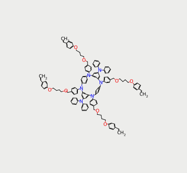 C=Cc1ccc(OCCCCOCc2ccc(-n3c4ccc(cc4)n(-c4ccc(COCCCCOc5ccc(C=C)cc5)cc4)c4cc(N(c5ccccc5)c5ccccc5)cc(c4)n(-c4ccc(COCCCCOc5ccc(C=C)cc5)cc4)c4ccc(cc4)n(-c4ccc(COCCCCOc5ccc(C=C)cc5)cc4)c4cc(N(c5ccccc5)c5ccccc5)cc3c4)cc2)cc1